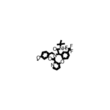 COc1ccc(CN2C(=O)c3ncccc3Oc3ccc(C(F)(F)F)cc3C2C(=O)NC(C)(C)C)cc1